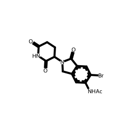 CC(=O)Nc1cc2c(cc1Br)C(=O)N(C1CCC(=O)NC1=O)C2